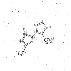 Cn1nc(C(F)(F)F)cc1-c1ccsc1C(=O)O